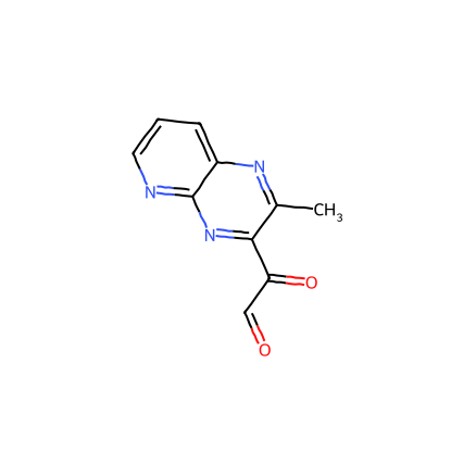 Cc1nc2cccnc2nc1C(=O)C=O